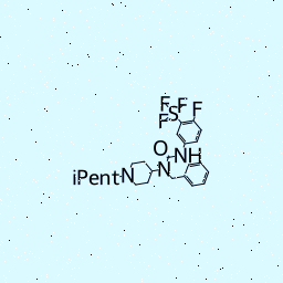 CCCC(C)N1CCC(N(Cc2ccccc2)C(=O)Nc2ccc(F)c(S(F)(F)F)c2)CC1